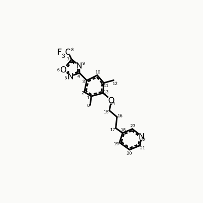 Cc1cc(-c2noc(C(F)(F)F)n2)cc(C)c1OCCCc1cccnc1